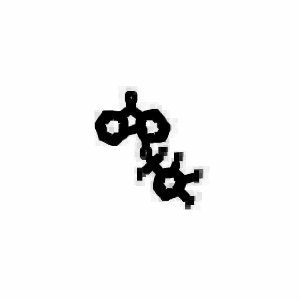 O=C1c2ccccc2-c2c(OC(F)(F)c3ccc(F)c(F)c3F)cccc21